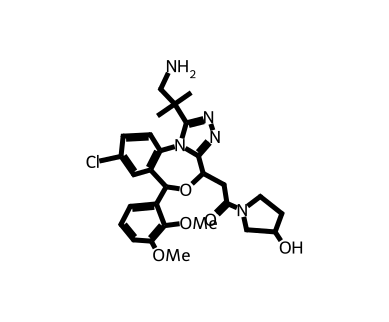 COc1cccc(C2OC(CC(=O)N3CCC(O)C3)c3nnc(C(C)(C)CN)n3-c3ccc(Cl)cc32)c1OC